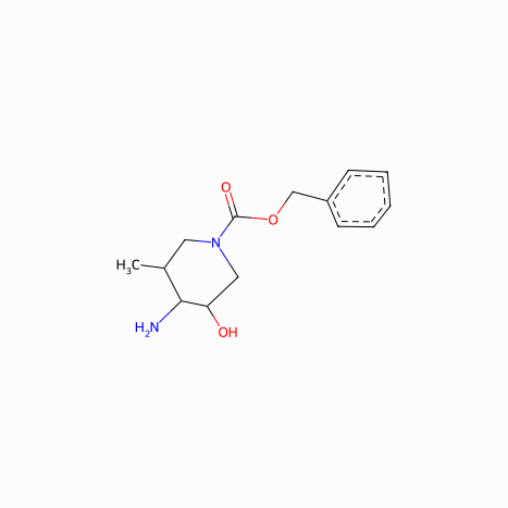 CC1CN(C(=O)OCc2ccccc2)CC(O)C1N